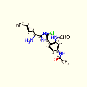 CCC/C=C/CC(N)c1nc(-c2ccc(NC(=O)C(F)(F)F)cc2NC=O)c(Cl)[nH]1